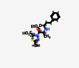 CCOC(=O)[C@H](CCc1ccccc1)NC(C)C(=O)N1N=C(C(C)(C)C)S[C@H]1C(=O)O